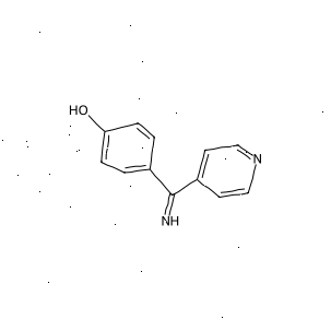 N=C(c1ccncc1)c1ccc(O)cc1